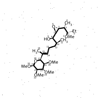 CC[C@H](OC)[C@@H](C)[C@H]1O[C@@H]1[C@H](O)[C@@H](C)CC/C=C(\C)[C@@H]1O[C@H](OC)[C@H](OC)[C@@H](OC)[C@@H]1OC